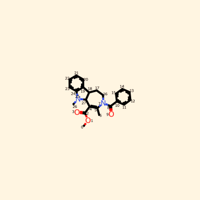 COC(=O)C1=C(C)N(C(=O)c2ccccc2)CCC2c3ccccc3N(C)C12